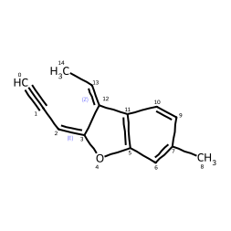 C#C/C=c1/oc2cc(C)ccc2/c1=C/C